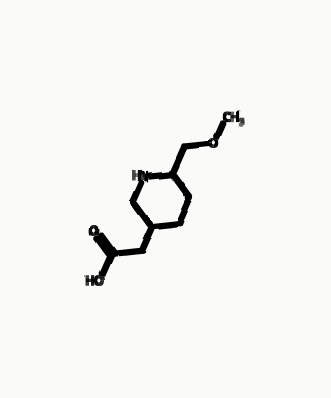 COCC1CCC(CC(=O)O)CN1